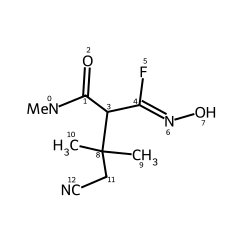 CNC(=O)C(C(F)=NO)C(C)(C)CC#N